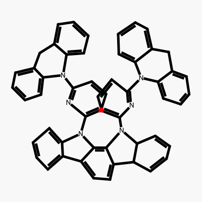 C1=CC2c3ccc4c5ccccc5n(-c5cccc(N6c7ccccc7Cc7ccccc76)n5)c4c3N(c3cccc(N4c5ccccc5Cc5ccccc54)n3)C2C=C1